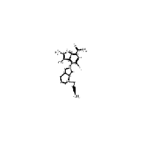 CC#CCN1CCCC2CN(c3c(F)cc(C(N)=O)c4[nH]c(C)c(Cl)c34)CC21